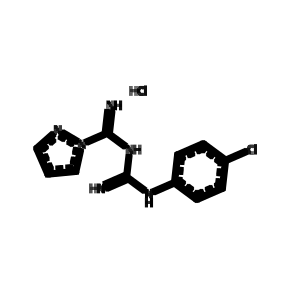 Cl.N=C(NC(=N)n1cccn1)Nc1ccc(Cl)cc1